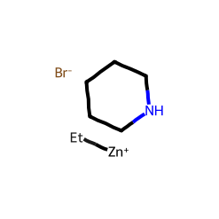 C1CCNCC1.C[CH2][Zn+].[Br-]